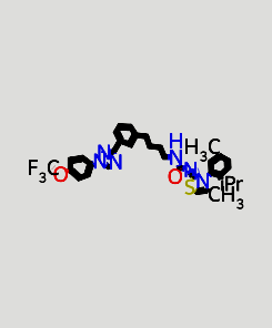 Cc1ccc(C(C)C)c(-n2c(C)cs/c2=N\C(=O)NCCCCc2cccc(-c3ncn(-c4ccc(OC(F)(F)F)cc4)n3)c2)c1